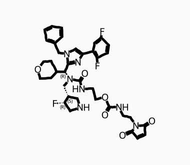 O=C(NCCN1C(=O)C=CC1=O)OCCNC(=O)N(C[C@@H]1CNC[C@@H]1F)[C@@H](c1nc(-c2cc(F)ccc2F)cn1Cc1ccccc1)C1CCOCC1